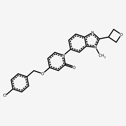 Cn1c(C2COC2)nc2ccc(-n3ccc(OCc4ccc(Cl)cc4)cc3=O)cc21